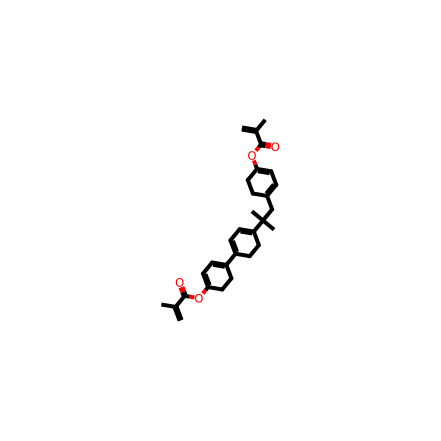 C=C(C)C(=O)OC1=CC=C(CC(C)(C)C2=CC=C(C3=CC=C(OC(=O)C(=C)C)CC3)CC2)CC1